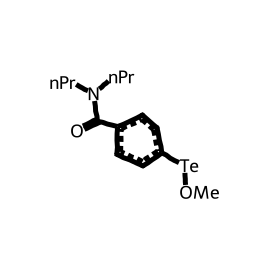 CCCN(CCC)C(=O)c1ccc([Te]OC)cc1